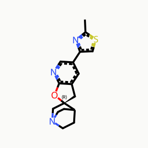 Cc1nc(-c2cnc3c(c2)C[C@@]2(CN4CCC2CC4)O3)cs1